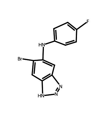 Fc1ccc(Nc2cc3nn[nH]c3cc2Br)cc1